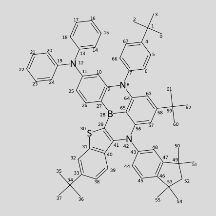 CC(C)(C)c1ccc(N2c3cc(N(c4ccccc4)c4ccccc4)ccc3B3c4sc5cc(C(C)(C)C)ccc5c4N(c4ccc5c(c4)C(C)(C)CC5(C)C)c4cc(C(C)(C)C)cc2c43)cc1